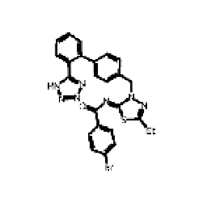 CCc1nn(Cc2ccc(-c3ccccc3-c3nnn[nH]3)cc2)c(=NC(=O)c2ccc(Br)cc2)s1